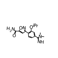 CC(C)Oc1cc(C(=N)N(C)C)ccc1-c1cc(C(N)=O)on1